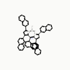 FB(F)n1c(-c2ccc3ccccc3c2)cc(-c2ccc3ccccc3c2)c1/C(=C1\N=C(c2ccc3ccccc3c2)C=C1c1ccc2ccccc2c1)c1cccc2ccccc12